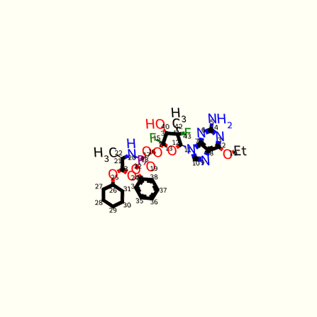 CCOc1nc(N)nc2c1ncn2[C@@H]1O[C@](F)(OO[P@](=O)(N[C@@H](C)C(=O)OC2CCCCC2)Oc2ccccc2)[C@@H](O)[C@@]1(C)F